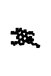 COC(=O)c1c(C)nc(C)c(C(=O)OC)c1-c1cc([N+](=O)[O-])ccc1OCCCCBr